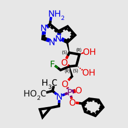 CC(C(=O)O)N(CC1CC1)P(=O)(OC[C@@]1(CF)O[C@@H](c2ccc3c(N)ncnn23)[C@H](O)[C@@H]1O)Oc1ccccc1